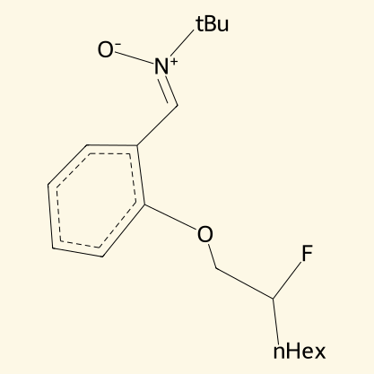 CCCCCCC(F)COc1ccccc1C=[N+]([O-])C(C)(C)C